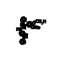 COc1cc(-c2nc(Nc3ccc4c(cnn4C4CCCCO4)c3)nn2C2CCCCO2)ccc1OCC(=O)O